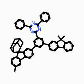 Cc1ccc2c(c1)-c1ccc(-c3cc(-c4ccc5c(c4)C(C)(C)c4ccccc4-5)cc(-c4nc(-c5ccccc5)nc(-c5ccccc5)n4)c3)cc1C21C2CC3CC(C2)CC1C3